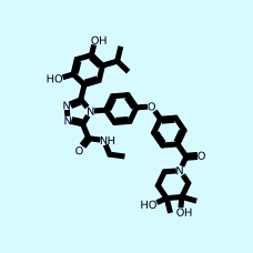 CCNC(=O)c1nnc(-c2cc(C(C)C)c(O)cc2O)n1-c1ccc(Oc2ccc(C(=O)N3CCC(C)(O)C(C)(O)C3)cc2)cc1